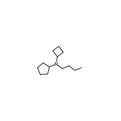 [CH2]CCCN(C1CCCC1)C1CCC1